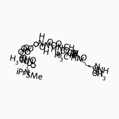 CCS1(C)C=C(C#CCCCC(=O)NCc2cn(CC(C)(C)COC(C)(C)CNC(=O)COCC(=O)NCC(=O)Nc3ccc(COC(=O)OC4C(=O)OCC(C=O)=C4/C=C4/c5nc6ccccc6c(CCN(SC)C(C)C)c5CN4C)cc3)nn2)C=NC1=N